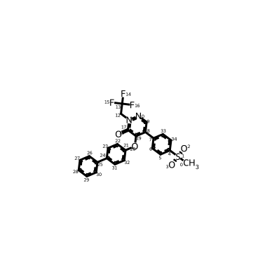 CS(=O)(=O)c1ccc(-c2cnn(CC(F)(F)F)c(=O)c2Oc2ccc(-c3ccccc3)cc2)cc1